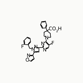 O=C(O)C1(c2ccccc2)CCN(c2nc(-c3cc(-c4ccon4)n(Cc4ccccc4F)n3)ncc2F)CC1